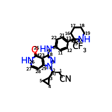 N#CC[C@@H](C1CC1)n1nc(Nc2ccc([C@@]3(C(F)(F)F)CCCCN3)cc2)c2c(=O)[nH]ccc21